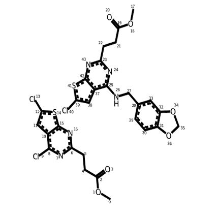 COC(=O)CCc1nc(Cl)c2cc(Cl)sc2n1.COC(=O)CCc1nc(NCc2ccc3c(c2)OCO3)c2cc(Cl)sc2n1